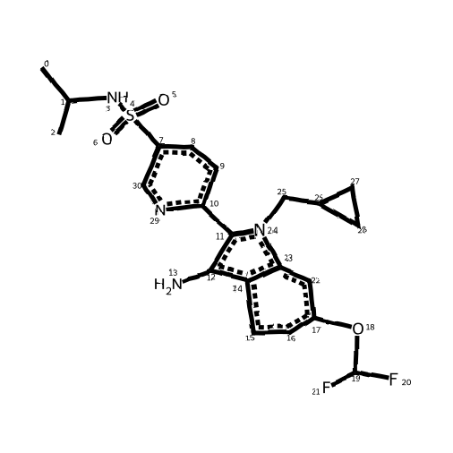 CC(C)NS(=O)(=O)c1ccc(-c2c(N)c3ccc(OC(F)F)cc3n2CC2CC2)nc1